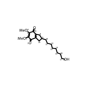 COC1=C(OC)C(=O)C2=C(CC(CCCCCCCCO)C2)C1=O